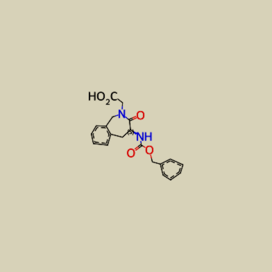 O=C(O)CN1Cc2ccccc2C[C@H](NC(=O)OCc2ccccc2)C1=O